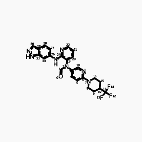 O=CN(c1ccc(N2CCC(C(F)(F)F)CC2)nc1)c1cccnc1Nc1ccc2cn[nH]c2c1